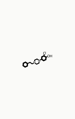 Oc1ccc(N2CCN(CCc3ccccc3)CC2)cc1Cl